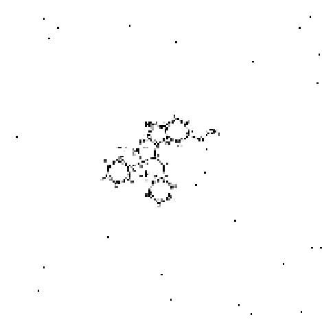 COc1ccc2[nH]cc(C(Cc3ccccc3)[C@](N)(C(=O)O)c3ccccc3)c2c1